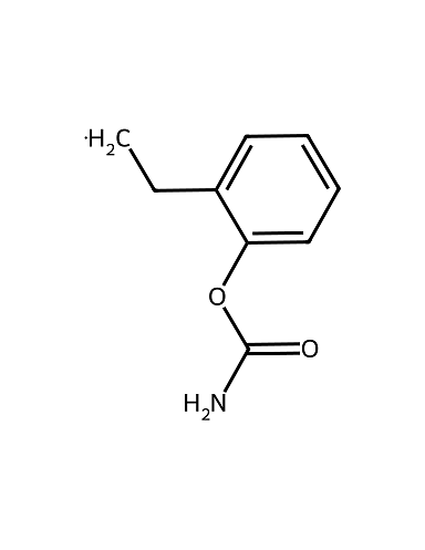 [CH2]Cc1ccccc1OC(N)=O